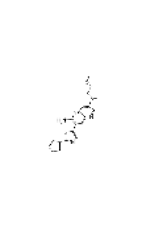 COCCN(C)c1cnc2cc(-c3nnc(C4CCCC4)s3)c(N)nc2c1